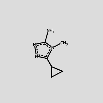 Cn1c(N)nnc1C1CC1